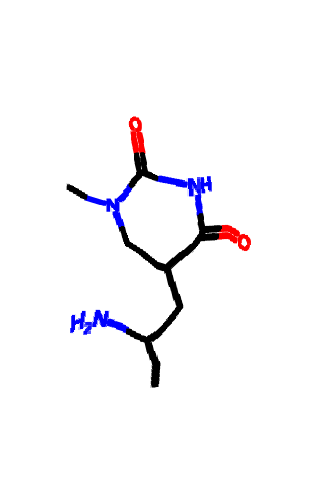 CC(N)CC1CN(C)C(=O)NC1=O